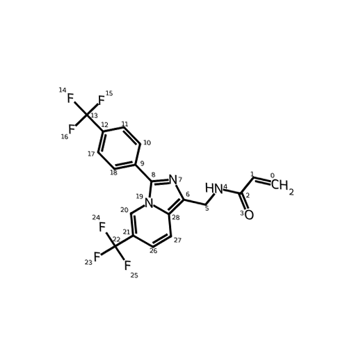 C=CC(=O)NCc1nc(-c2ccc(C(F)(F)F)cc2)n2cc(C(F)(F)F)ccc12